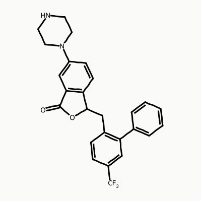 O=C1OC(Cc2ccc(C(F)(F)F)cc2-c2ccccc2)c2ccc(N3CCNCC3)cc21